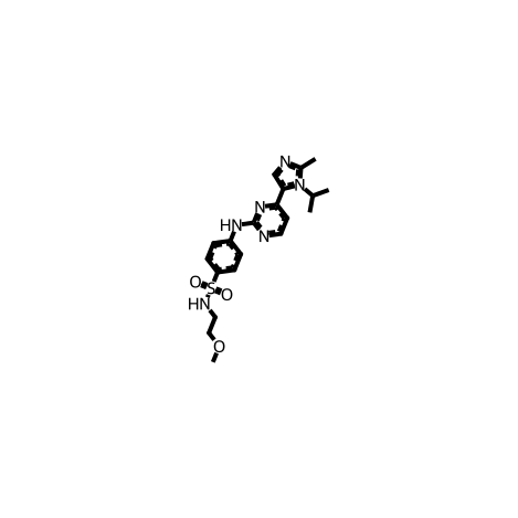 COCCNS(=O)(=O)c1ccc(Nc2nccc(-c3cnc(C)n3C(C)C)n2)cc1